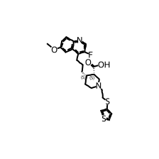 COc1ccc2ncc(F)c(CCC[C@H]3CCN(CCSc4ccsc4)C[C@H]3C(=O)O)c2c1